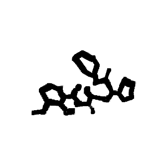 COc1ccnc(C(=O)N[C@@H](C)C(=O)OC(C2CCCC2)[C@H](C)Oc2ccccc2)c1O